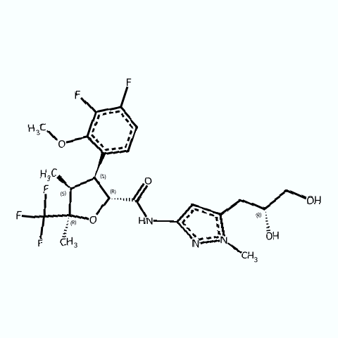 COc1c([C@H]2[C@H](C(=O)Nc3cc(C[C@@H](O)CO)n(C)n3)O[C@@](C)(C(F)(F)F)[C@H]2C)ccc(F)c1F